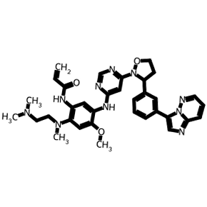 C=CC(=O)Nc1cc(Nc2cc(N3OCCC3c3cccc(-c4cnc5cccnn45)c3)ncn2)c(OC)cc1N(C)CCN(C)C